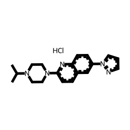 CC(C)N1CCN(c2ccc3cc(-n4cccn4)ccc3n2)CC1.Cl